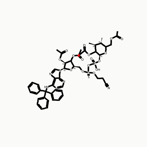 CC(=O)OCC1O[C@@H](OP(=O)(O)OP(=S)(OCCC#N)OC[C@H]2O[C@@H](n3cnc4c(NC(c5ccccc5)(c5ccccc5)c5ccccc5)ncnc43)[C@@H](OC(C)=O)C2OC(C)=O)C(OC(C)=O)[C@@H](C)[C@@H]1C